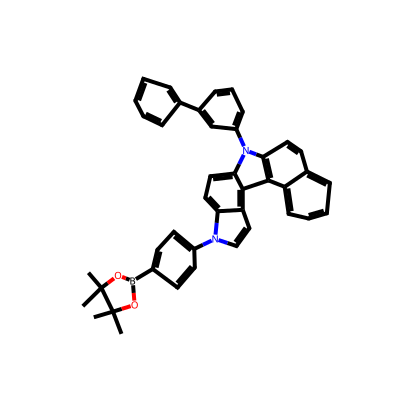 CC1(C)OB(c2ccc(-n3ccc4c5c6c7ccccc7ccc6n(-c6cccc(-c7ccccc7)c6)c5ccc43)cc2)OC1(C)C